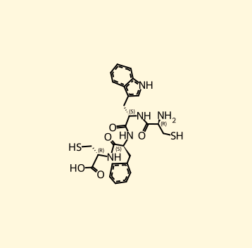 N[C@@H](CS)C(=O)N[C@@H](Cc1c[nH]c2ccccc12)C(=O)N[C@@H](Cc1ccccc1)C(=O)N[C@@H](CS)C(=O)O